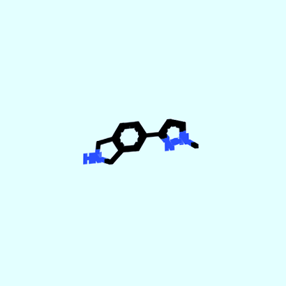 Cn1ccc(-c2ccc3c(c2)CNC3)n1